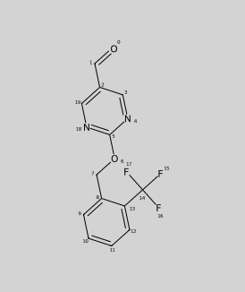 O=Cc1cnc(OCc2ccccc2C(F)(F)F)nc1